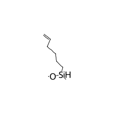 C=CCCCC[SiH](C)[O]